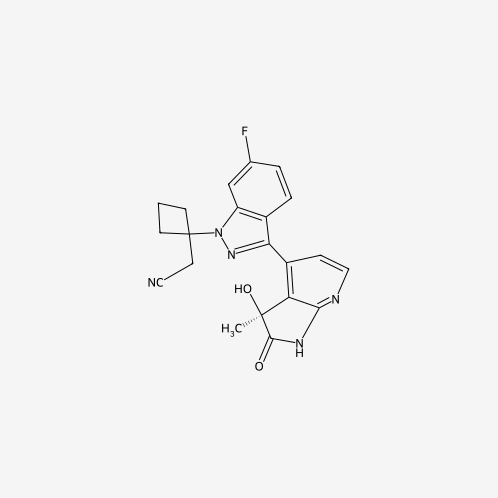 C[C@@]1(O)C(=O)Nc2nccc(-c3nn(C4(CC#N)CCC4)c4cc(F)ccc34)c21